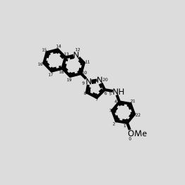 COc1ccc(Nc2ccn(-c3cnc4ccccc4c3)n2)cc1